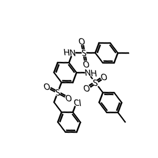 Cc1ccc(S(=O)(=O)Nc2ccc(S(=O)(=O)Cc3ccccc3Cl)cc2NS(=O)(=O)c2ccc(C)cc2)cc1